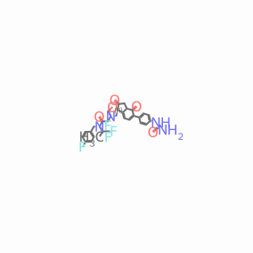 CC(N(Cc1ccc(F)cc1)C(=O)CN1CO[C@]2(C1)C(=O)CC1C(=O)C(c3ccc(NC(N)=O)cc3)=CC=C12)C(F)(F)F